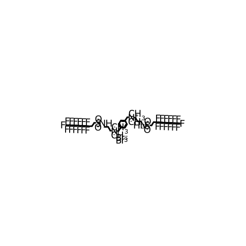 C[N+](C)(CCCNS(=O)(=O)CCC(F)(F)C(F)(F)C(F)(F)C(F)(F)C(F)(F)C(F)(F)F)Cc1ccc(C[N+](C)(C)CCCNS(=O)(=O)CCC(F)(F)C(F)(F)C(F)(F)C(F)(F)C(F)(F)C(F)(F)F)cc1.[Br-].[Br-]